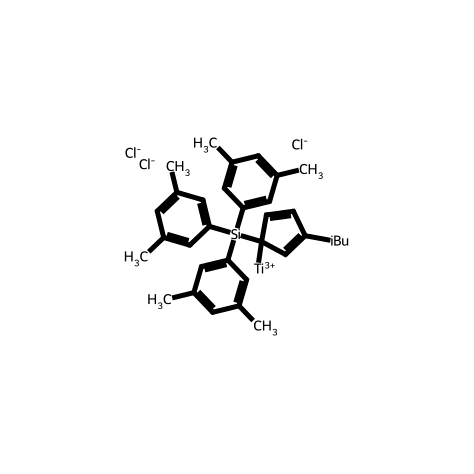 CCC(C)C1=C[C]([Ti+3])([Si](c2cc(C)cc(C)c2)(c2cc(C)cc(C)c2)c2cc(C)cc(C)c2)C=C1.[Cl-].[Cl-].[Cl-]